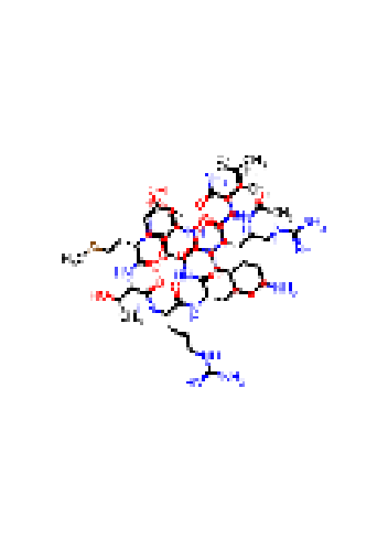 CSCC[C@H](NC(=O)[C@H](CO)NC(=O)[C@H](CC1CCCCC1)NC(=O)[C@H](CC(C)C)NC(C)=O)C(=O)N[C@H](C(=O)N[C@@H](CCCNC(=N)N)C(=O)N[C@@H](CCCCN)C(=O)N[C@@H](Cc1ccc(O)cc1)C(=O)N[C@@H](CCCNC(=N)N)C(=O)N[C@@H](CC(C)C)C(N)=O)[C@@H](C)O